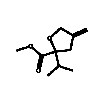 C=C1COC(C(=O)OC)(C(C)C)C1